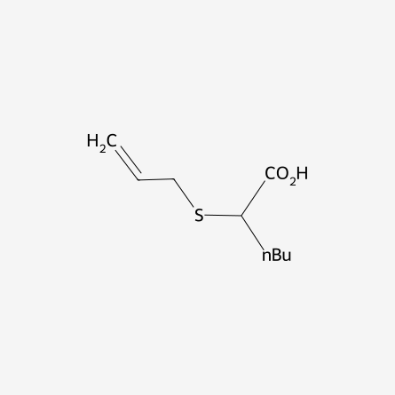 C=CCSC(CCCC)C(=O)O